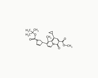 COC(=O)c1cc(C2CC2)c2c(C)c(C3C=CN(C(=O)OC(C)(C)C)C3)ccn2c1=O